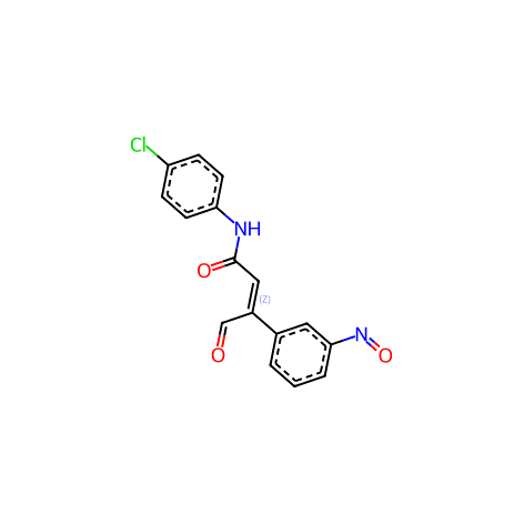 O=C/C(=C\C(=O)Nc1ccc(Cl)cc1)c1cccc(N=O)c1